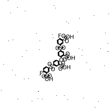 O=S(=O)(O)c1cc(S(=O)(=O)c2ccc(Oc3ccc(S(=O)(=O)c4ccc(F)c(S(=O)(=O)O)c4)cc3S(=O)(=O)O)c(S(=O)(=O)O)c2)ccc1F